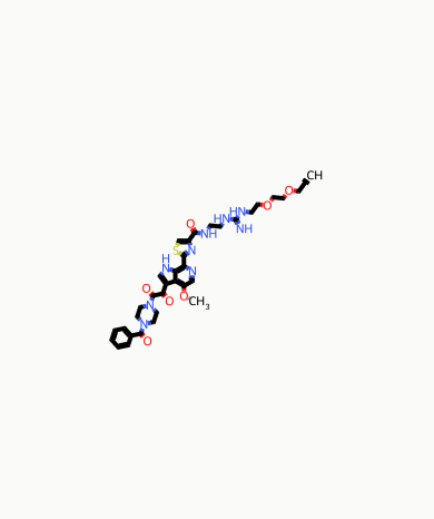 C#CCOCCOCCNC(=N)NCCNC(=O)c1csc(-c2ncc(OC)c3c(C(=O)C(=O)N4CCN(C(=O)c5ccccc5)CC4)c[nH]c23)n1